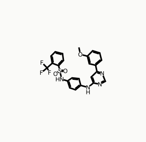 COc1cccc(-c2cc(Nc3ccc(NS(=O)(=O)c4ccccc4C(F)(F)F)cc3)ncn2)c1